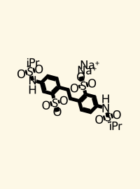 CC(C)S(=O)(=O)Nc1ccc(CCc2ccc(NS(=O)(=O)C(C)C)cc2S(=O)(=O)[O-])c(S(=O)(=O)[O-])c1.[Na+].[Na+]